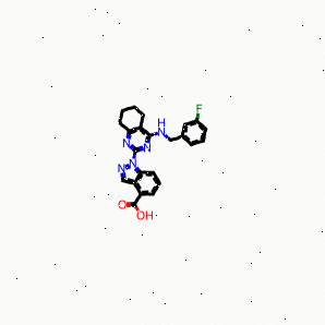 O=C(O)c1cccc2c1cnn2-c1nc2c(c(NCc3cccc(F)c3)n1)CCCC2